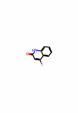 O=c1cc(I)c2ccccc2[nH]1